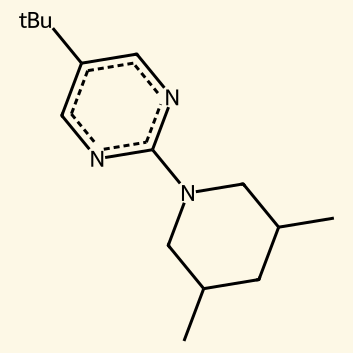 CC1CC(C)CN(c2ncc(C(C)(C)C)cn2)C1